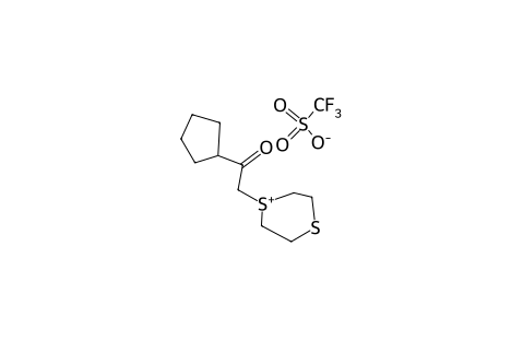 O=C(C[S+]1CCSCC1)C1CCCC1.O=S(=O)([O-])C(F)(F)F